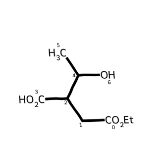 CCOC(=O)CC(C(=O)O)C(C)O